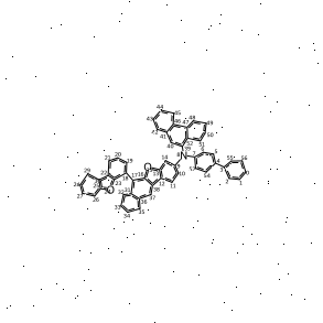 c1ccc(-c2ccc(N(c3ccc4c(c3)oc3c(-c5cccc6c5oc5ccccc56)c5ccccc5cc34)c3cc4ccccc4c4ccccc34)cc2)cc1